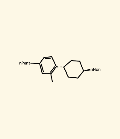 CCCCCCCCC[C@H]1CC[C@H](c2ccc(CCCCC)cc2C)CC1